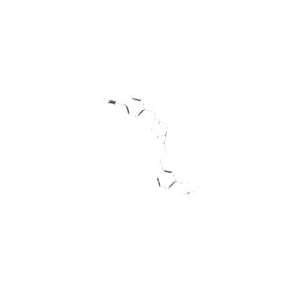 N#Cc1ccc(CN2CC3C(C[CH]c4cccc(OC(F)(F)F)c4)C3C2)cc1